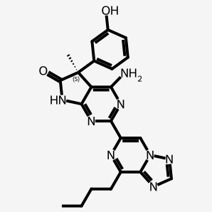 CCCCc1nc(-c2nc(N)c3c(n2)NC(=O)[C@@]3(C)c2cccc(O)c2)cn2ncnc12